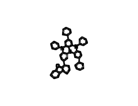 c1ccc(-c2ccc3c(c2)B2c4cc(-c5cccc6c5oc5ccccc56)ccc4N(c4ccccc4)c4cc(-c5ccccc5)cc(c42)N3c2ccccc2)cc1